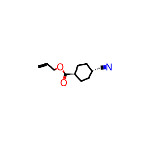 C=CCOC(=O)[C@H]1CC[C@H](C#N)CC1